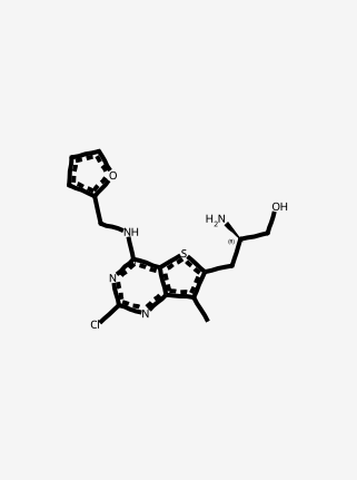 Cc1c(C[C@@H](N)CO)sc2c(NCc3ccco3)nc(Cl)nc12